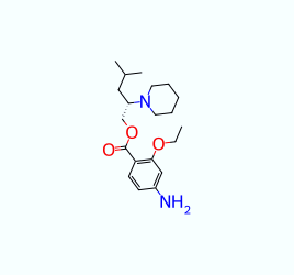 CCOc1cc(N)ccc1C(=O)OC[C@H](CC(C)C)N1CCCCC1